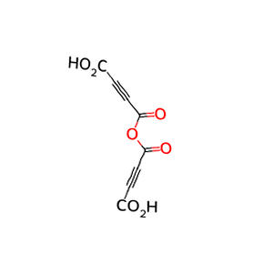 O=C(O)C#CC(=O)OC(=O)C#CC(=O)O